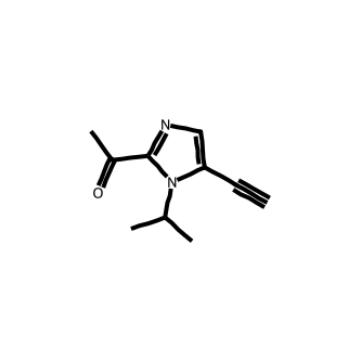 C#Cc1cnc(C(C)=O)n1C(C)C